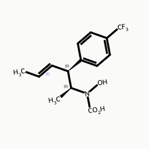 C/C=C/[C@@H](c1ccc(C(F)(F)F)cc1)[C@H](C)N(O)C(=O)O